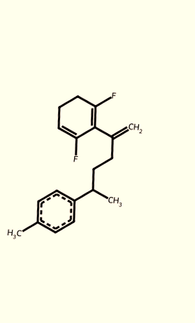 C=C(CCC(C)c1ccc(C)cc1)C1=C(F)CCC=C1F